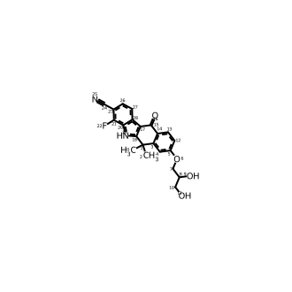 CC1(C)c2cc(OCC(O)CO)ccc2C(=O)c2c1[nH]c1c(F)c(C#N)ccc21